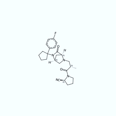 C[C@@H](CN1C[C@@H]2C[C@H]1C(=O)N2C1(c2ccc(F)cc2)CCCC1)C(=O)N1CCC[C@H]1C#N